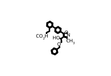 Cc1noc(-c2ccc(-c3ccccc3CCC(=O)O)cc2)c1C(O)COCc1ccccc1